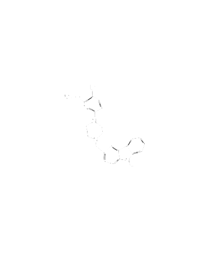 CCn1c2ccccc2c2cc(CN3CCN(c4ccc(Br)c(OC)n4)CC3)ccc21